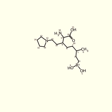 CC(CCB(O)O)CCC(CCN1CCCC1)C(N)C(=O)O